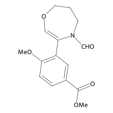 COC(=O)c1ccc(OC)c(C2=COCCCN2C=O)c1